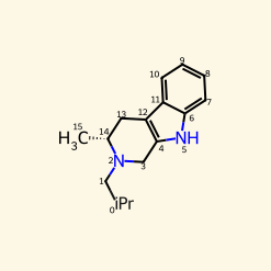 CC(C)CN1Cc2[nH]c3ccccc3c2C[C@H]1C